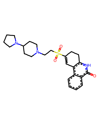 O=c1[nH]c2c(c3ccccc13)C=C(S(=O)(=O)CCN1CCC(N3CCCC3)CC1)CC2